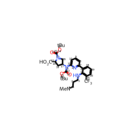 CNCCCNc1c(-c2cccc(N(C(=O)OC(C)(C)C)[C@H]3C[C@@H](C(=O)O)N(C(=O)OC(C)(C)C)C3)n2)cccc1C(F)(F)F